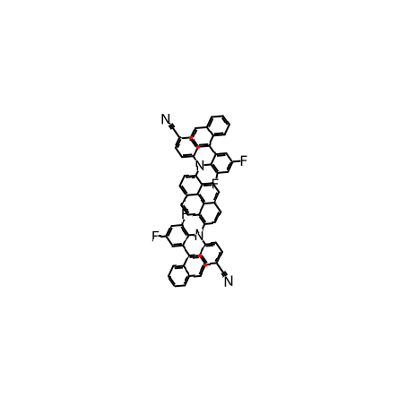 N#Cc1ccc(N(c2c(F)cc(F)cc2-c2cccc3ccccc23)c2ccc3ccc4c(N(c5ccc(C#N)cc5)c5c(F)cc(F)cc5-c5cccc6ccccc56)ccc5ccc2c3c54)cc1